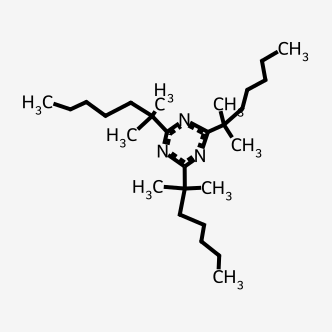 CCCCCC(C)(C)c1nc(C(C)(C)CCCCC)nc(C(C)(C)CCCCC)n1